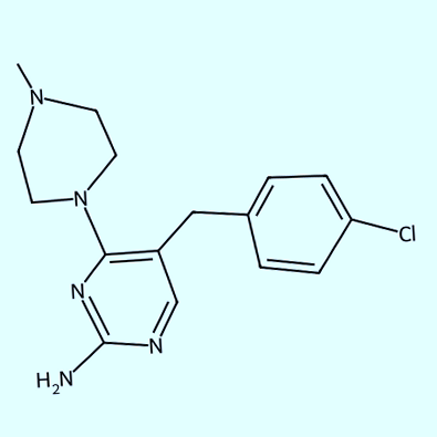 CN1CCN(c2nc(N)ncc2Cc2ccc(Cl)cc2)CC1